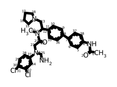 CC(=O)Nc1ccc(-c2ccc(C(CN3CCCC3)N(C)C(=O)CN(CN)c3ccc(Cl)c(Cl)c3)cc2)cc1